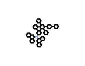 C1=CC(c2ccccc2)CC=C1c1cc(-c2ccccc2)c2c3ccccc3c3cc(N(c4cc5ccccc5c5ccccc45)c4cc5ccccc5c5ccccc45)ccc3c2c1-c1ccccc1